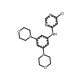 Clc1cc(Nc2cc(N3CCOCC3)cc(N3CCOCC3)c2)ncn1